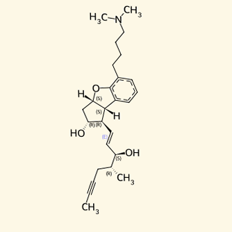 CC#CC[C@@H](C)[C@H](O)/C=C/[C@@H]1[C@H]2c3cccc(CCCCN(C)C)c3O[C@H]2C[C@H]1O